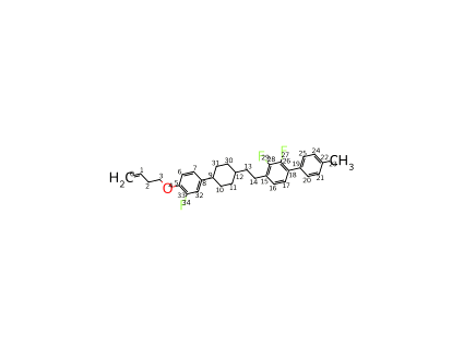 C=CCCOc1ccc(C2CCC(CCc3ccc(-c4ccc(C)cc4)c(F)c3F)CC2)cc1F